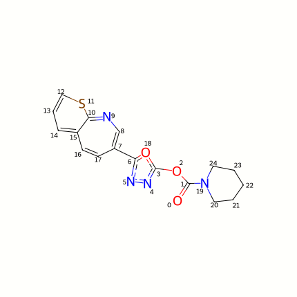 O=C(Oc1nnc(C2=CN=C3SC=CC=C3C=C2)o1)N1CCCCC1